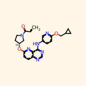 C=CC(=O)N1CC[C@H](Oc2ccc3ncnc(Nc4ccc(OCC5CC5)nc4)c3n2)C1